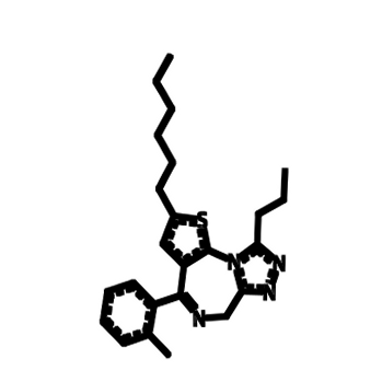 CCCCCCc1cc2c(s1)-n1c(CCC)nnc1CN=C2c1ccccc1C